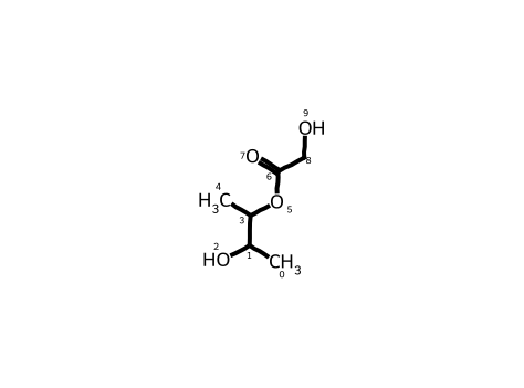 CC(O)C(C)OC(=O)CO